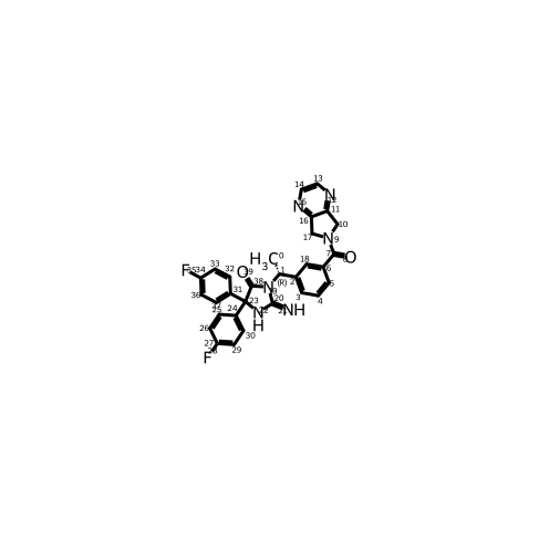 C[C@H](c1cccc(C(=O)N2Cc3nccnc3C2)c1)N1C(=N)NC(c2ccc(F)cc2)(c2ccc(F)cc2)C1=O